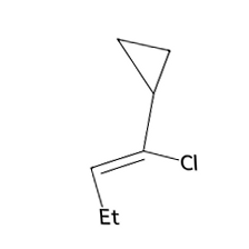 CCC=C(Cl)C1CC1